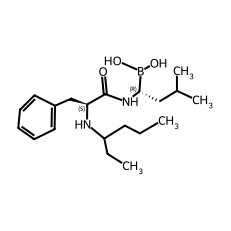 CCCC(CC)N[C@@H](Cc1ccccc1)C(=O)N[C@@H](CC(C)C)B(O)O